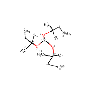 COCC(C)(C)[O][Y]([O]C(C)(C)COC)[O]C(C)(C)COC